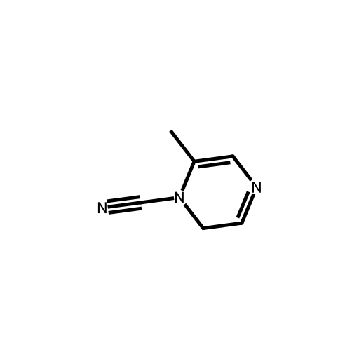 CC1=CN=CCN1C#N